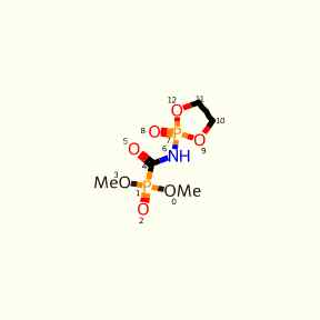 COP(=O)(OC)C(=O)NP1(=O)OCCO1